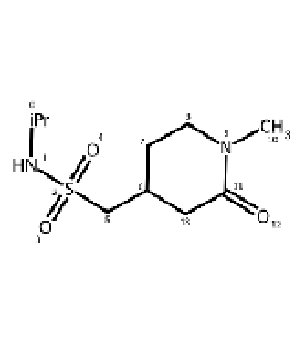 CC(C)NS(=O)(=O)CC1CCN(C)C(=O)C1